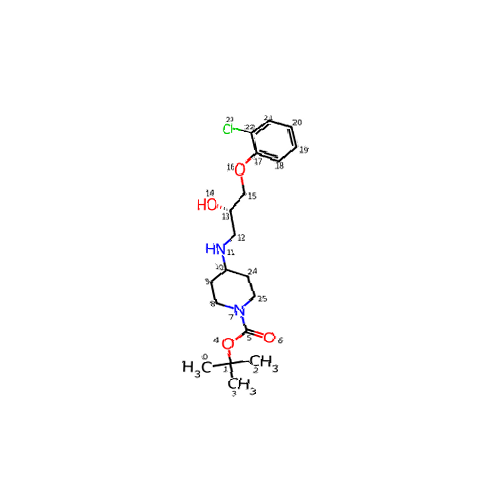 CC(C)(C)OC(=O)N1CCC(NC[C@H](O)COc2ccccc2Cl)CC1